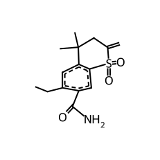 C=C1CC(C)(C)c2cc(CC)c(C(N)=O)cc2S1(=O)=O